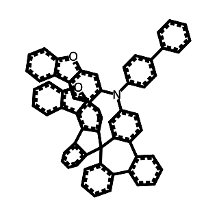 c1ccc(-c2ccc(N(c3ccc4c(c3)C3(c5ccccc5-c5ccccc5-4)c4ccccc4-c4c3ccc3oc5ccccc5c43)c3ccc4c(c3)oc3ccccc34)cc2)cc1